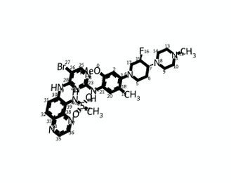 COc1cc(N2CC[C@@H](N3CCN(C)CC3)[C@H](F)C2)c(C)cc1Nc1ncc(Br)c(Nc2ccc3nccnc3c2NS(C)(=O)=O)n1